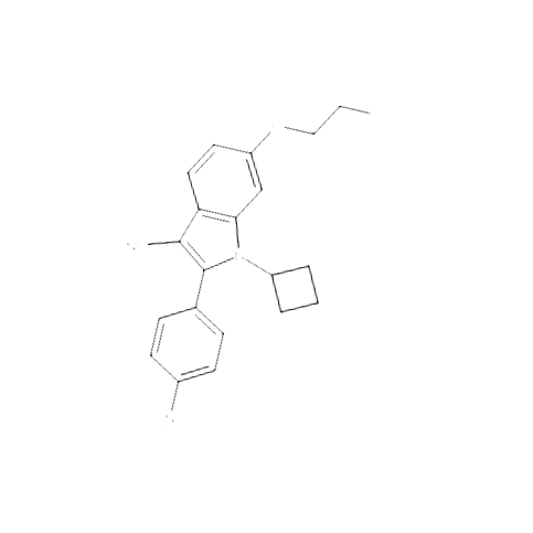 N#Cc1c(-c2ccc(N)cc2)n(C2CCC2)c2cc(OCCCl)ccc12